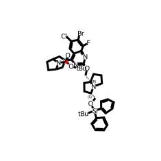 CC(C)(C)OC(=O)N1C2CCC1CN(c1nc(OC[C@]34CCCN3[C@H](CO[Si](c3ccccc3)(c3ccccc3)C(C)(C)C)CC4)nc3c(F)c(Br)c(Cl)cc13)C2